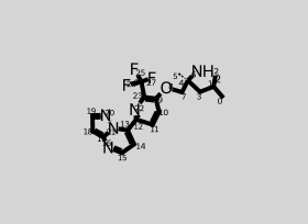 CC(C)C[C@](C)(N)COc1ccc(-c2ccnc3ccnn23)nc1C(F)(F)F